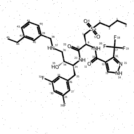 CCCCS(=O)(=O)C[C@@H](NC(=O)c1c[nH]nc1C(F)(F)F)C(=O)N[C@@H](Cc1cc(F)cc(F)c1)[C@H](O)CNCc1cccc(CC)c1